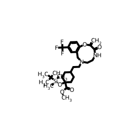 C=C1Oc2ccc(C(F)(F)F)cc2CN(CCC2CCC(O[Si](C)(C)C(C)(C)C)(C(=O)OC)CC2)CCNC1=O